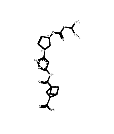 CC(C)NC(=O)O[C@@H]1CC[C@H](c2cc(NC(=O)C34CC(C3)C(C(N)=O)C4)n[nH]2)C1